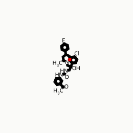 CC(=O)c1cccc(NC(=O)NCC(O)(CN2CCC(c3ccc(F)cc3)CC2C)c2ccc(Cl)cc2)c1